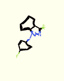 Fc1ccc(-n2nc(F)c3ccccc32)cc1